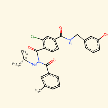 C[C@H](NN(C(=O)c1cccc(C(F)(F)F)c1)C(=O)c1ccc(C(=O)NCc2cccc(O)c2)cc1Cl)C(=O)O